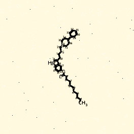 CCCCCCCCCCC(=O)Oc1ccc2[nH]cc(CCCCN3CCC(c4ccccc4)CC3)c2c1